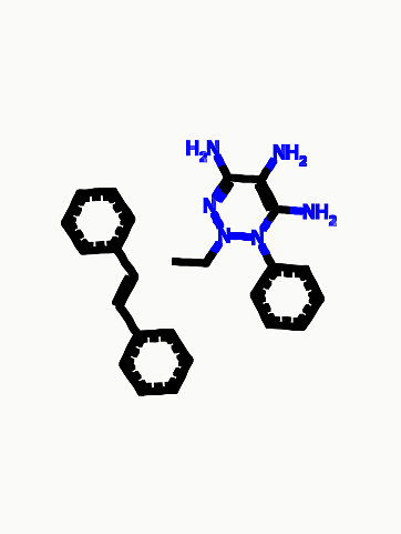 C(=Cc1ccccc1)c1ccccc1.CCN1N=C(N)C(N)=C(N)N1c1ccccc1